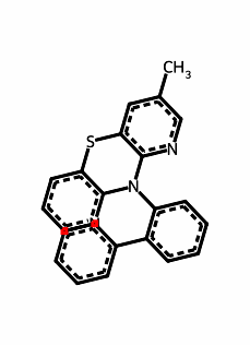 Cc1cnc2c(c1)Sc1cccnc1N2c1ccccc1-c1ccccc1